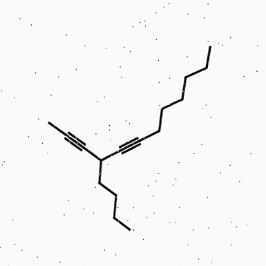 [CH2]CCCC(C#CC)C#CCCCCCC